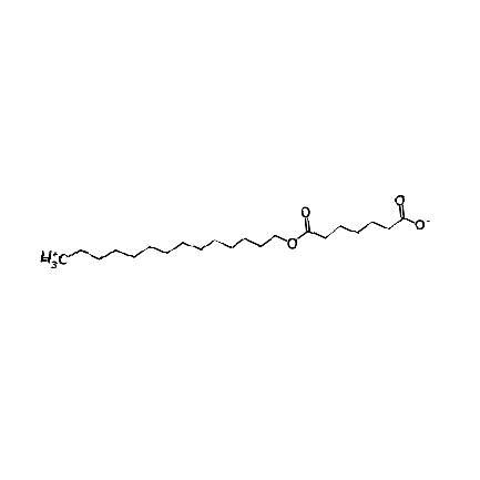 CCCCCCCCCCCCCCOC(=O)CCCCCC(=O)[O-].[Li+]